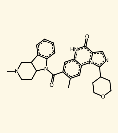 Cc1cc2c(cc1C(=O)N1c3ccccc3C3CN(C)CCC31)[nH]c(=O)c1cnc(C3CCOCC3)n12